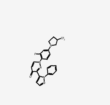 O=c1ccn(-c2ccc(N3CCC(C(F)(F)F)C3)cc2F)nc1-c1ccnn1-c1ccccc1